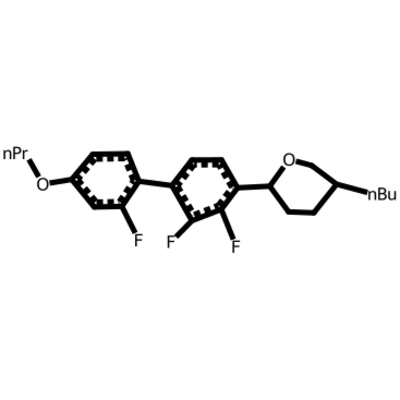 CCCCC1CCC(c2ccc(-c3ccc(OCCC)cc3F)c(F)c2F)OC1